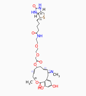 C/N=C1/C=C/CC(OC(=O)COCCOCCNC(=O)CCCC[C@@H]2SC[C@@H]3NC(=O)N[C@@H]32)/C=C/C[C@@H](C)OC(=O)c2c(O)cc(O)cc2C1